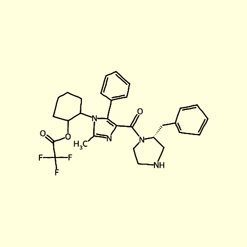 Cc1nc(C(=O)N2CCNC[C@H]2Cc2ccccc2)c(-c2ccccc2)n1C1CCCCC1OC(=O)C(F)(F)F